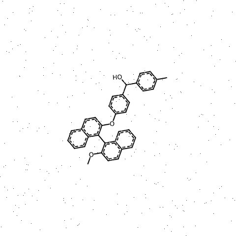 COc1ccc2ccccc2c1-c1c(Oc2ccc(C(O)c3ccc(C)cc3)cc2)ccc2ccccc12